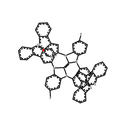 Fc1ccc2c(c1)N(c1ccc3sc4ccccc4c3c1)/C(=C1\N(c3ccc4sc5ccccc5c4c3)c3ccc(F)cc3N1c1cc3c(cn1)sc1ccccc13)N2c1cc2c(cn1)sc1ccccc12